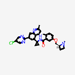 Cc1ccc2c(C3(NC(=O)c4cc(OC[C@@H]5CCN5C)ccc4C)CC3)cc(-c3ncc(Cl)cn3)cc2n1